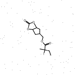 CCC(C)(I)C(=O)OCC1CC2OC(=O)OC2C1